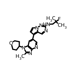 Cc1nc2ncc(-c3ccn4nc(NCC(C)(C)F)ncc34)cc2n1C1CCOCC1